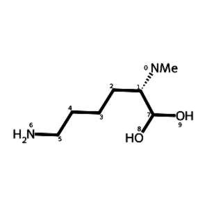 CN[C@@H](CCCCN)C(O)O